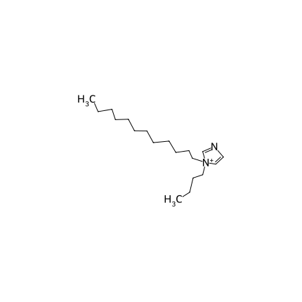 CCCCCCCCCCCC[N+]1(CCCC)C=CN=C1